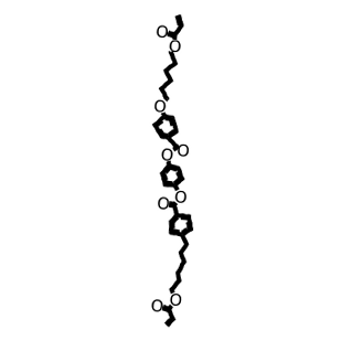 C=CC(=O)OCCCCCCOc1ccc(C(=O)Oc2ccc(OC(=O)c3ccc(CCCCCCOC(=O)C=C)cc3)cc2)cc1